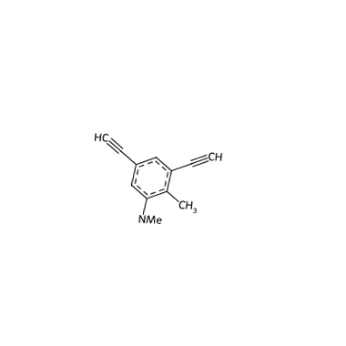 C#Cc1cc(C#C)c(C)c(NC)c1